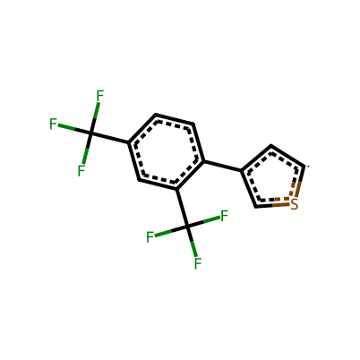 FC(F)(F)c1ccc(-c2c[c]sc2)c(C(F)(F)F)c1